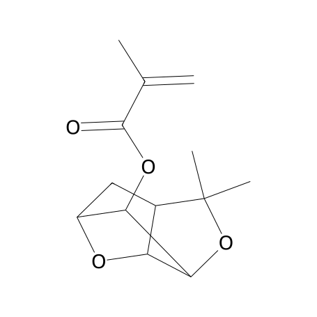 C=C(C)C(=O)OC1C2CC3C(O2)C1OC3(C)C